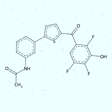 CC(=O)Nc1cccc(-c2ccc(C(=O)c3cc(F)c(F)c(O)c3F)s2)c1